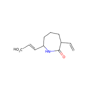 C=CC1CCCC(C=CC(=O)O)NC1=O